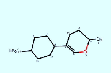 CCCCCC1CCC(C2=COC(C#N)CC2)CC1